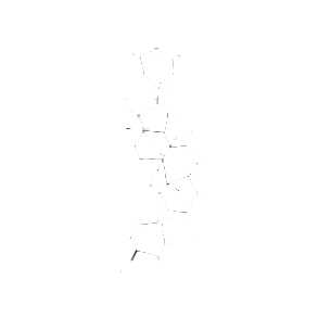 C[C@]12CC(N3CCC(=O)CC3)C(O)CC1CC[C@@H]1[C@H]2CC[C@]2(C)C(O)C(N3CCCCC3)C[C@@H]12